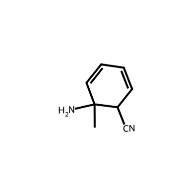 CC1(N)C=CC=CC1C#N